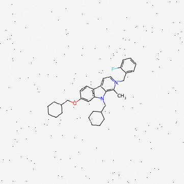 Cc1c2c(cc[n+]1Cc1ccccc1F)c1ccc(OCC3CCCCC3)cc1n2CC1CCCCC1